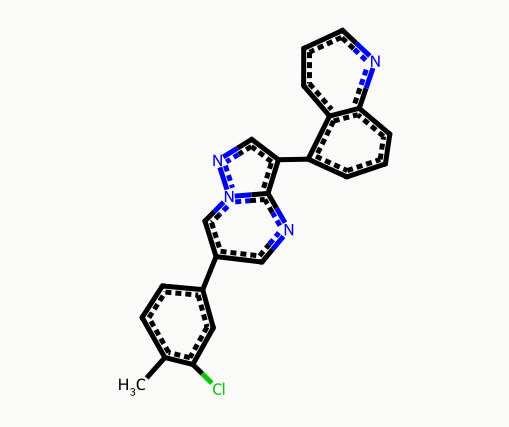 Cc1ccc(-c2cnc3c(-c4cccc5ncccc45)cnn3c2)cc1Cl